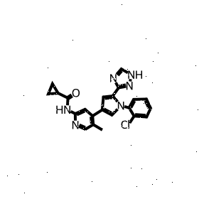 Cc1cnc(NC(=O)C2CC2)cc1-c1cc(-c2nc[nH]n2)n(-c2ccccc2Cl)c1